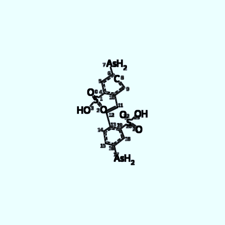 O=S(=O)(O)c1cc([AsH2])ccc1C=Cc1ccc([AsH2])cc1S(=O)(=O)O